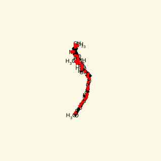 CCC(CC)c1ccc(C(C#N)=C2CCN(C(=O)C(=O)c3c[nH]c4c(-n5cnc(C(=O)N[C@H](CO)C(=O)NCCCN6CCN(CCOCCOCCOCCOCc7cn(CCOCCOCCOCCOCCC(C)=O)nn7)CC6)n5)ncc(OC)c34)CC2)cc1